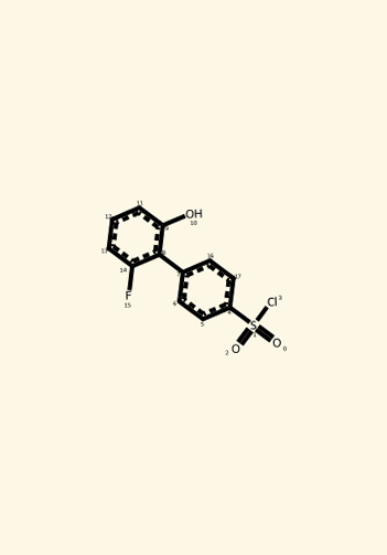 O=S(=O)(Cl)c1ccc(-c2c(O)cccc2F)cc1